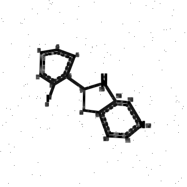 Fc1ccccc1C1Cc2ccncc2N1